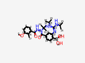 COc1cccc(C(=O)NN(C(=O)c2ccc(B(O)O)c(N=C(NC(C)C)NC(C)C)c2)C(C)(C)C)c1C